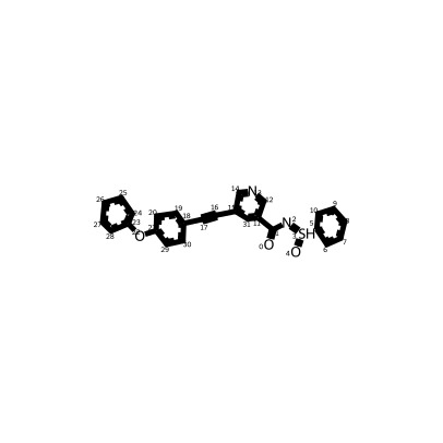 O=C(N=[SH](=O)c1ccccc1)c1cncc(C#Cc2ccc(Oc3ccccc3)cc2)c1